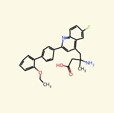 CCOc1ccccc1-c1ccc(-c2cc(CC(C)(N)CC(=O)O)c3cc(F)ccc3n2)cc1